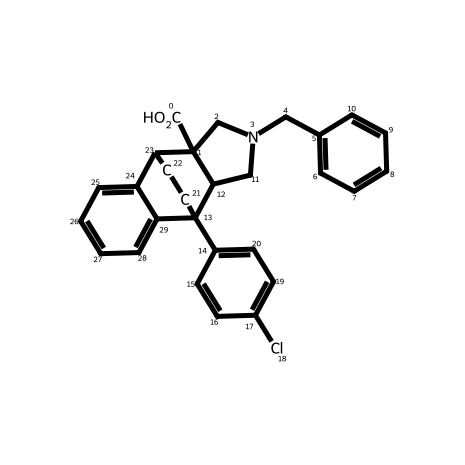 O=C(O)C12CN(Cc3ccccc3)CC1C1(c3ccc(Cl)cc3)CCC2c2ccccc21